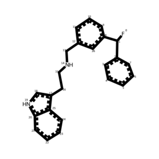 FC(c1ccccc1)c1cccc(CNCCc2c[nH]c3ccccc23)c1